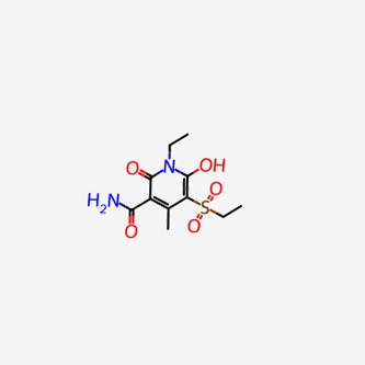 CCn1c(O)c(S(=O)(=O)CC)c(C)c(C(N)=O)c1=O